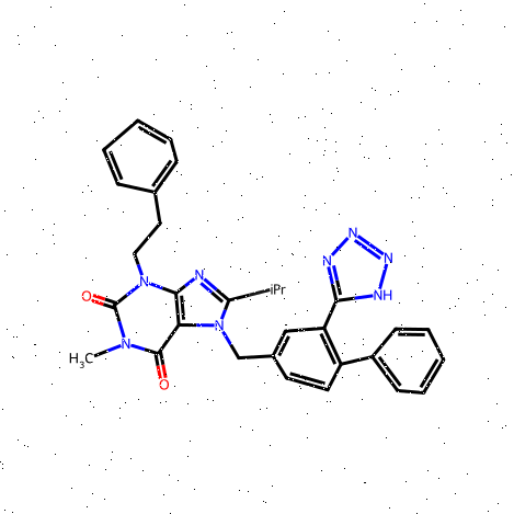 CC(C)c1nc2c(c(=O)n(C)c(=O)n2CCc2ccccc2)n1Cc1ccc(-c2ccccc2)c(-c2nnn[nH]2)c1